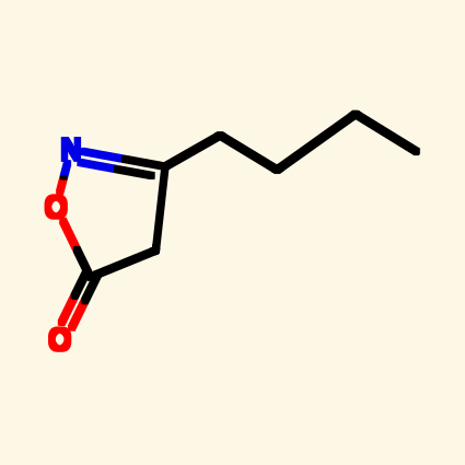 CCCCC1=NOC(=O)C1